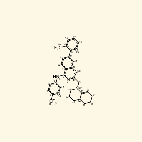 FC(F)(F)c1ccc(Nc2nc(CN3CCCC4CCCC=C43)nc3cc(-c4ncccc4C(F)(F)F)ccc23)cn1